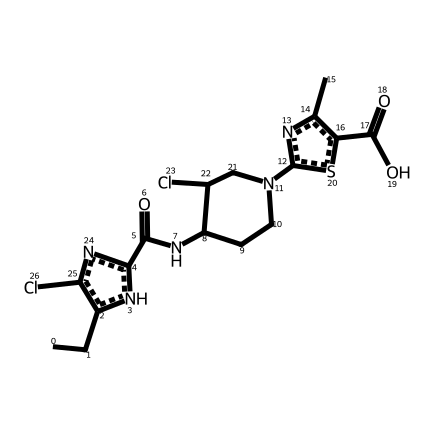 CCc1[nH]c(C(=O)NC2CCN(c3nc(C)c(C(=O)O)s3)CC2Cl)nc1Cl